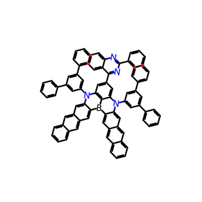 c1ccc(-c2cc(-c3ccccc3)cc(N3c4cc5cc6ccccc6cc5cc4B4c5cc6cc7ccccc7cc6cc5N(c5cc(-c6ccccc6)cc(-c6ccccc6)c5)c5cc(-c6nc(-c7ccccc7)nc7ccccc67)cc3c54)c2)cc1